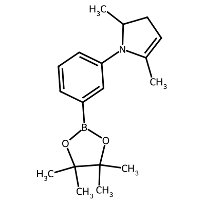 CC1=CCC(C)N1c1cccc(B2OC(C)(C)C(C)(C)O2)c1